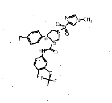 Cn1cnc(S(=O)(=O)N2C[C@@H](C(=O)Nc3ccc(F)c(OC(F)(F)F)c3)[C@H](c3ccc(F)cc3)C2)c1